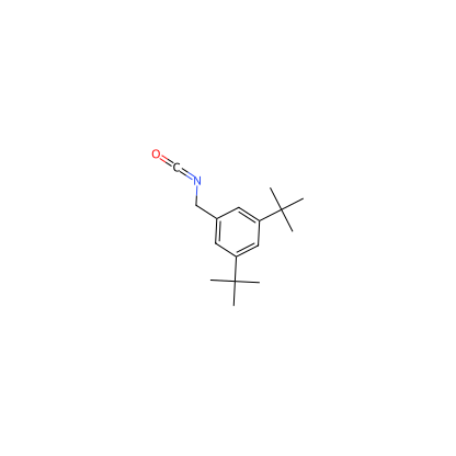 CC(C)(C)c1cc(CN=C=O)cc(C(C)(C)C)c1